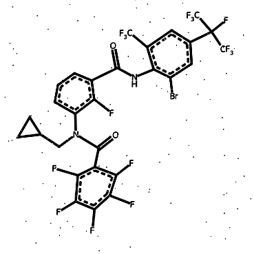 O=C(Nc1c(Br)cc(C(F)(C(F)(F)F)C(F)(F)F)cc1C(F)(F)F)c1cccc(N(CC2CC2)C(=O)c2c(F)c(F)c(F)c(F)c2F)c1F